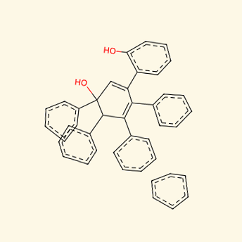 Oc1ccccc1C1=CC(O)(c2ccccc2)C(c2ccccc2)C(c2ccccc2)=C1c1ccccc1.c1ccccc1